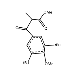 COC(=O)C(C)C(=O)c1cc(C(C)(C)C)c(OC)c(C(C)(C)C)c1